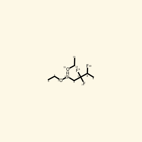 CCO[SiH](CC(F)(F)C(C)F)OCC